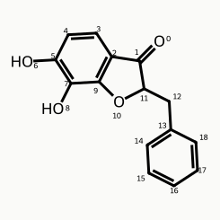 O=C1c2ccc(O)c(O)c2OC1Cc1ccccc1